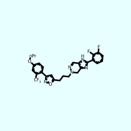 CCCOc1ccc(-c2cc(CCCN3Cc4nc(-c5cccc(F)c5F)[nH]c4C=N3)on2)c(C(F)(F)F)c1